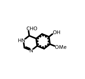 COc1cc2c(cc1O)C(C=O)NC=N2